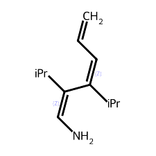 C=C/C=C(\C(=C/N)C(C)C)C(C)C